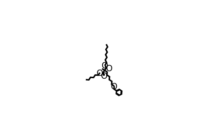 CCCCCCCCOC(=O)C(C)(CCCCCCOCc1ccccc1)C(=O)OCCCCCC